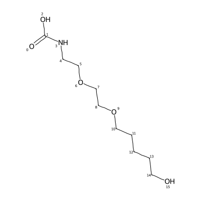 O=C(O)NCCOCCOCCCCCO